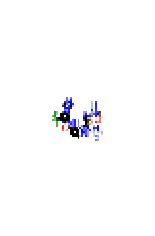 CC(=O)Nc1ncc(/C(N)=C/N(N)c2cc(C(=O)Nc3cc(N4CCN(C)CC4)cc(C(F)(F)F)c3)ccc2C)s1